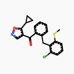 CSc1cccc(Cl)c1Cc1ccccc1C(=O)c1cnoc1C1CC1